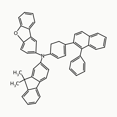 CC1(C)c2ccccc2-c2ccc(N(C3=CC=C(c4ccc5ccccc5c4-c4ccccc4)CC3)c3ccc4oc5ccccc5c4c3)cc21